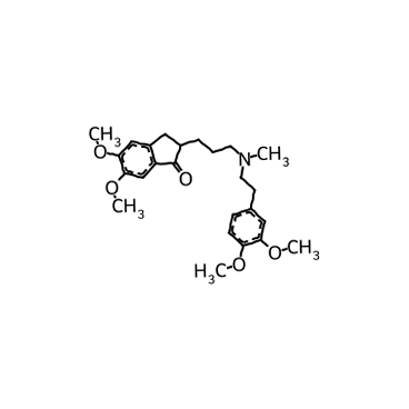 COc1ccc(CCN(C)CCCC2Cc3cc(OC)c(OC)cc3C2=O)cc1OC